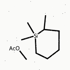 CC1CCCC[Si]1(C)C.COC(C)=O